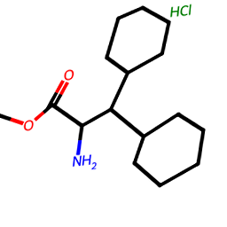 COC(=O)C(N)C(C1CCCCC1)C1CCCCC1.Cl